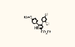 CCOC(=O)c1cc(-c2ccc(Cl)cc2Cl)c(-c2ccc(OC)cc2)[nH]1